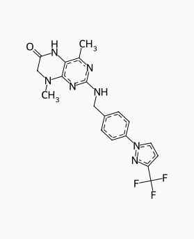 Cc1nc(NCc2ccc(-n3ccc(C(F)(F)F)n3)cc2)nc2c1NC(=O)CN2C